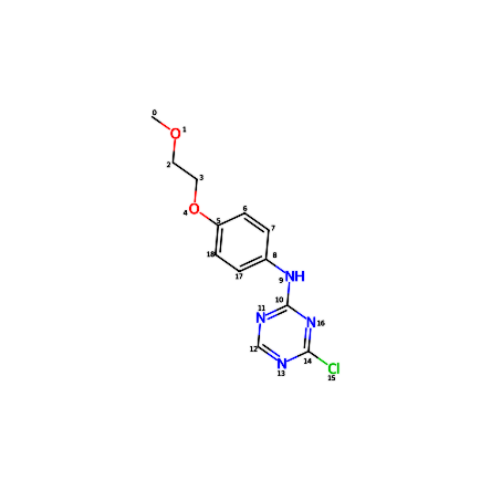 COCCOc1ccc(Nc2ncnc(Cl)n2)cc1